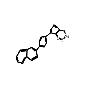 c1cc2c(c(-c3ccc(-c4ccc5ccccc5c4)cc3)c1)OSNC2